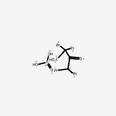 CCC(C(=O)O)(C(=O)C(C(C)C)C(C)C)C(C)C.[O]=[Ti]([OH])[OH]